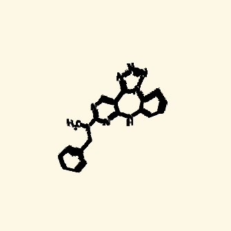 CN(Cc1ccccc1)c1ncc2c(n1)Nc1ccccc1-n1nnnc1-2